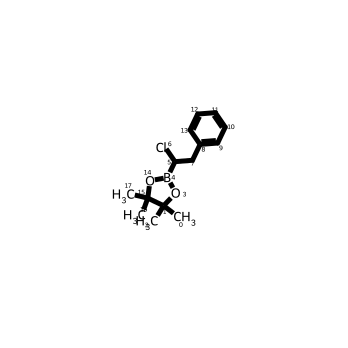 CC1(C)OB(C(Cl)Cc2ccccc2)OC1(C)C